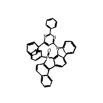 O=P1(c2ccccc2)c2ccc3ccccc3c2-c2ccc3c4ccccc4n(-c4cc(-c5ccccc5)nc(-c5ccccc5)n4)c3c21